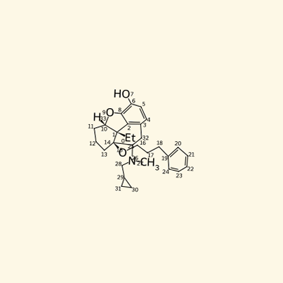 CC[C@]12c3c4ccc(O)c3O[C@H]1CCC[C@@]2(OCCCc1ccccc1)C(N(C)CC1CC1)C4